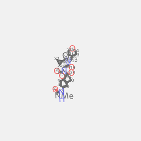 CNC(=O)Nc1ccc2c(c1)CC[C@@]21OC(=O)N(CC(=O)N(CC2CCOCC2)C(C)C2CC2)C1=O